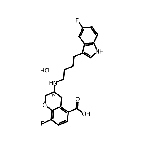 Cl.O=C(O)c1ccc(F)c2c1C[C@H](NCCCCc1c[nH]c3ccc(F)cc13)CO2